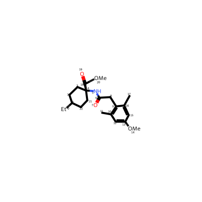 CCC1CCC(NC(=O)Cc2c(C)cc(OC)cc2C)(C(=O)OC)CC1